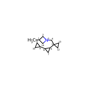 CC1CN(CC2(C3CC3C3CC3)CC2)C1